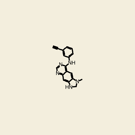 C#Cc1cccc(Nc2ncnc3cc4c(cc23)N(C)CN4)c1